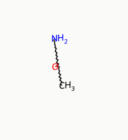 CCCCCCCCCCCC(=O)CCCCCCCCCCCCCCN